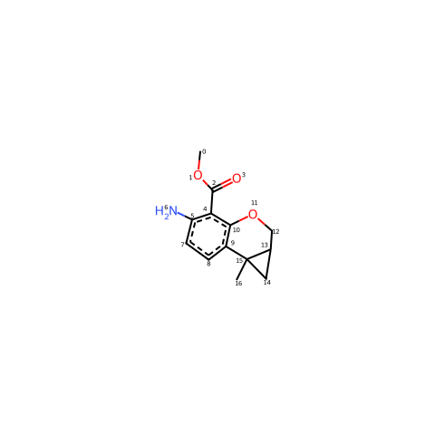 COC(=O)c1c(N)ccc2c1OCC1CC21C